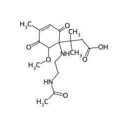 COC1C(=O)C(C)=CC(=O)C1(NCCNC(C)=O)C(C)(C)CC(=O)O